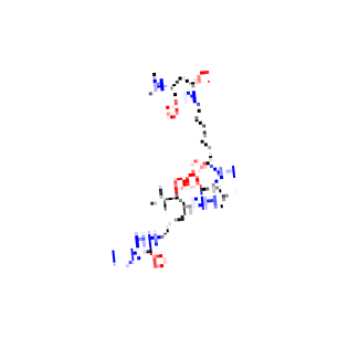 CC(C)[C@H](NC(=O)CCCCCN1C(=O)CC(N(C)C)C1=O)C(=O)N[C@@H](CCCNC(N)=O)C(=O)C(C)(C)C